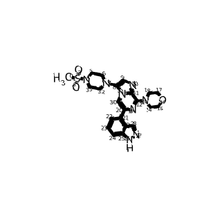 CS(=O)(=O)N1CCN(c2cnc3c(N4CCOCC4)nc(-c4cccc5[nH]ncc45)cn23)CC1